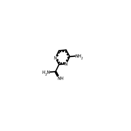 N=C(N)c1nccc(N)n1